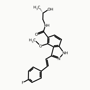 COc1c(C(=O)NC[C@H](C)O)ccc2[nH]nc(/C=C/c3ccc(F)cc3)c12